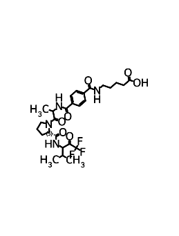 CC(NC(=O)c1ccc(C(=O)NCCCCC(=O)O)cc1)C(=O)N1CCC[C@H]1C(=O)NC(C(=O)C(F)(F)F)C(C)C